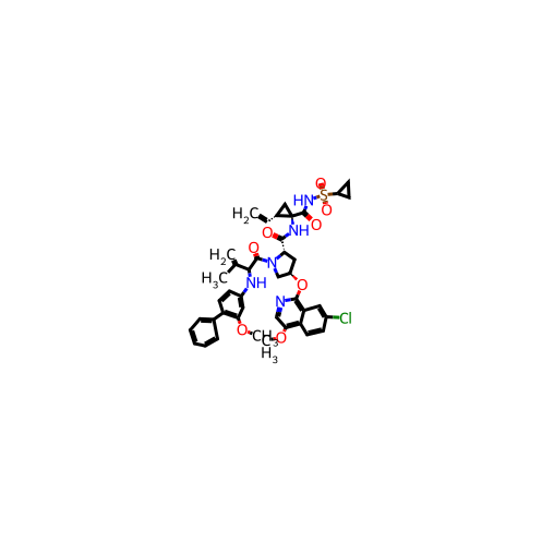 C=C[C@@H]1C[C@]1(NC(=O)[C@@H]1C[C@@H](Oc2ncc(OC)c3ccc(Cl)cc23)CN1C(=O)C(Nc1ccc(-c2ccccc2)c(OC)c1)C(=C)C)C(=O)NS(=O)(=O)C1CC1